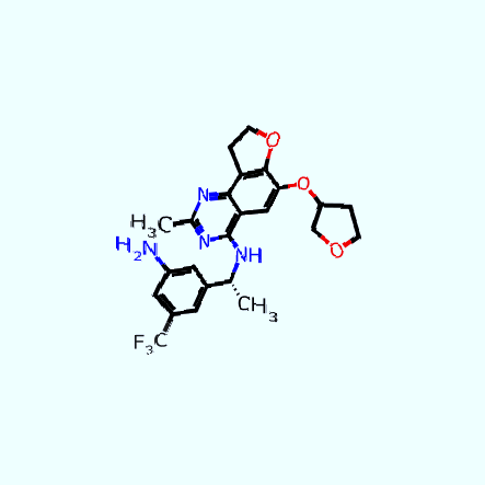 Cc1nc(N[C@H](C)c2cc(N)cc(C(F)(F)F)c2)c2cc(OC3CCOC3)c3c(c2n1)CCO3